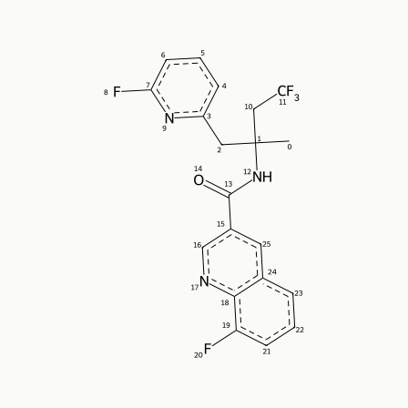 CC(Cc1cccc(F)n1)(CC(F)(F)F)NC(=O)c1cnc2c(F)cccc2c1